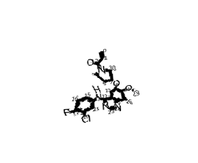 C=CC(=O)N1CC[C@@H](Oc2cc3c(Nc4ccc(F)c(Cl)c4)ncnc3cc2OC)C1